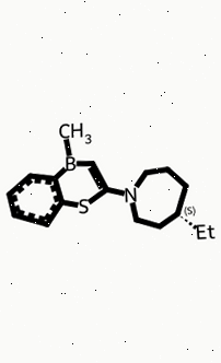 CC[C@H]1CCCN(C2=CB(C)c3ccccc3S2)CC1